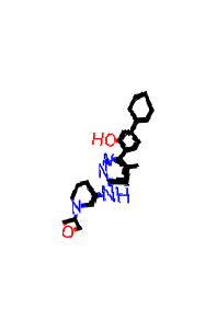 Cc1cc(NC2CCCN(C3COC3)C2)nnc1-c1ccc(C2CCCCC2)cc1O